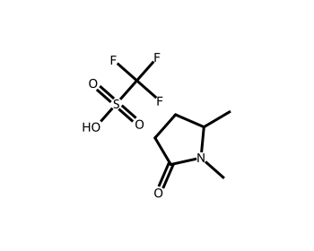 CC1CCC(=O)N1C.O=S(=O)(O)C(F)(F)F